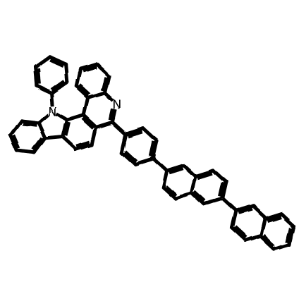 c1ccc(-n2c3ccccc3c3ccc4c(-c5ccc(-c6ccc7cc(-c8ccc9ccccc9c8)ccc7c6)cc5)nc5ccccc5c4c32)cc1